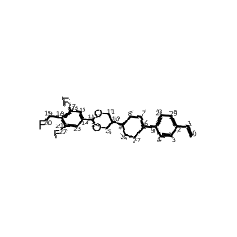 C=Cc1ccc(C2CCC(C3COC(c4cc(F)c(CF)c(F)c4)OC3)CC2)cc1